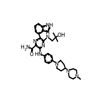 CN1CCN(C2CCN(c3ccc(Nc4nc(NCC(C)(C)O)c(-c5cccc6[nH]ccc56)nc4C(N)=O)cc3)CC2)CC1